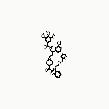 COc1cc(C(=O)N(C)CC(CCN2CCC(C(=O)c3nc4ccccc4n3CCOCc3ccco3)CC2)c2cccc(Cl)c2)cc(OC)c1OC